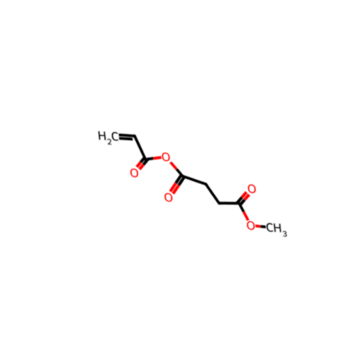 C=CC(=O)OC(=O)CCC(=O)OC